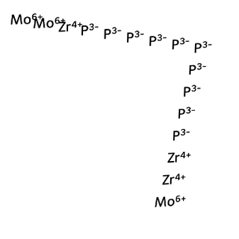 [Mo+6].[Mo+6].[Mo+6].[P-3].[P-3].[P-3].[P-3].[P-3].[P-3].[P-3].[P-3].[P-3].[P-3].[Zr+4].[Zr+4].[Zr+4]